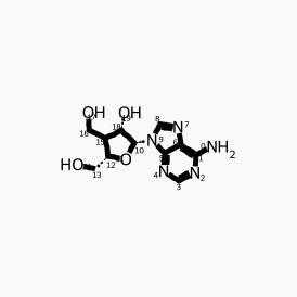 Nc1ncnc2c1ncn2[C@@H]1O[C@H](CO)C(CO)[C@@H]1O